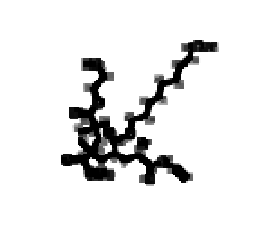 C#COC(=O)[C@@H](Br)C[C@@H](CC(C)(CC(C)(C)C(=O)OCCO)C(=O)OC)C(=O)OCCCCCCCCCCCCCCCCCC